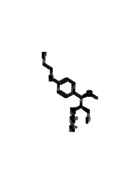 CO[C@H](c1ccc(SCCF)cc1)[C@@H](CF)N=[N+]=[N-]